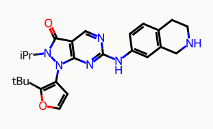 CC(C)n1c(=O)c2cnc(Nc3ccc4c(c3)CNCC4)nc2n1-c1ccoc1C(C)(C)C